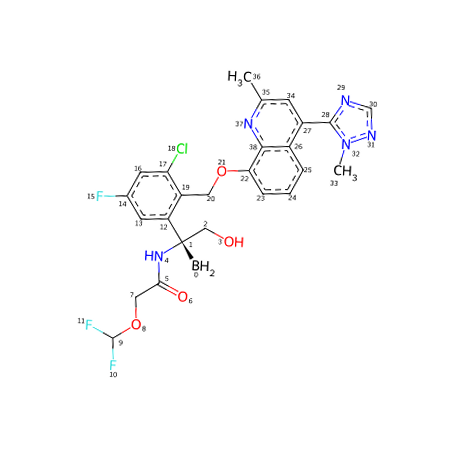 B[C@@](CO)(NC(=O)COC(F)F)c1cc(F)cc(Cl)c1COc1cccc2c(-c3ncnn3C)cc(C)nc12